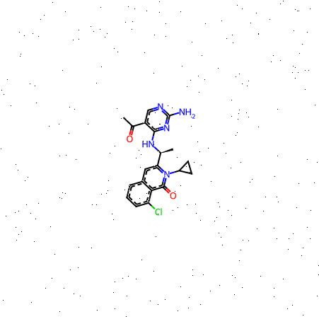 CC(=O)c1cnc(N)nc1N[C@@H](C)c1cc2cccc(Cl)c2c(=O)n1C1CC1